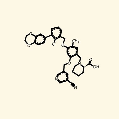 Cc1cc(CN2CCCC[C@@H]2C(=O)O)c(OCc2cncc(C#N)c2)cc1OCc1cccc(-c2ccc3c(c2)OCCO3)c1Cl